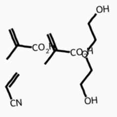 C=C(C)C(=O)O.C=C(C)C(=O)O.C=CC#N.OCCOCCO